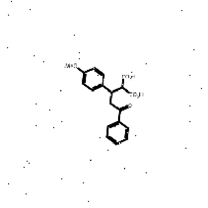 COc1ccc(C(CC(=O)c2ccccc2)C(C(=O)O)C(=O)O)cc1